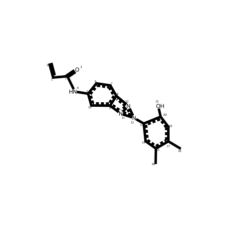 C=CC(=O)Nc1ccc2c(c1)n1n(-c3cc(C)c(C)cc3O)n21